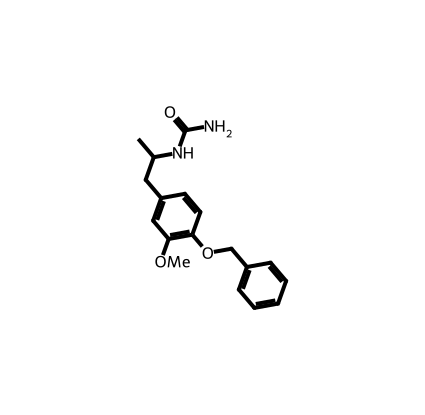 COc1cc(CC(C)NC(N)=O)ccc1OCc1ccccc1